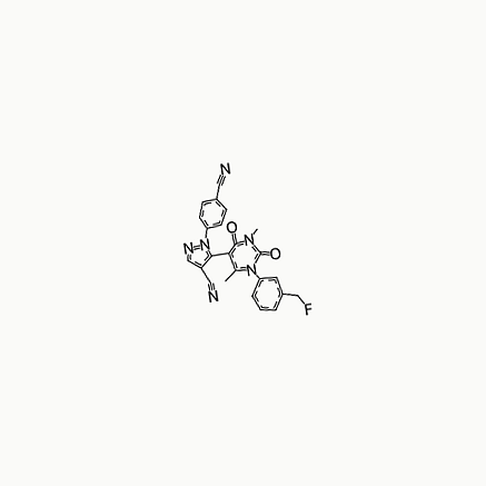 Cc1c(-c2c(C#N)cnn2-c2ccc(C#N)cc2)c(=O)n(C)c(=O)n1-c1cccc(CF)c1